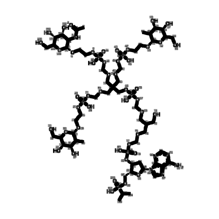 CC(=O)NC1[C@H](OCCOP(=O)(O)OCOCC(COCOP(=O)(O)OCCO[C@@H]2OC(CO)[C@H](O)[C@H](O)C2C)(COCOP(=O)(O)OCCO[C@@H]2OC(CO)[C@H](O)[C@H](O)C2C)COP(=O)(O)OCOCC(CO)COCOP(=O)(O)O[C@H]2C[C@H](n3cnc4c(N)ncnc43)O[C@@H]2COP(=O)(O)C(C)C)OC(CO)[C@H](O)[C@@H]1O